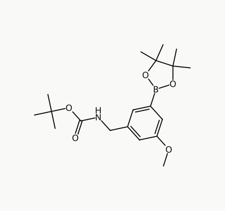 COc1cc(CNC(=O)OC(C)(C)C)cc(B2OC(C)(C)C(C)(C)O2)c1